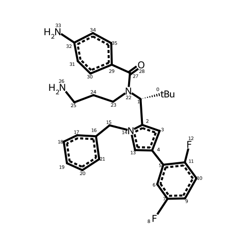 CC(C)(C)[C@H](c1cc(-c2cc(F)ccc2F)cn1Cc1ccccc1)N(CCCN)C(=O)c1ccc(N)cc1